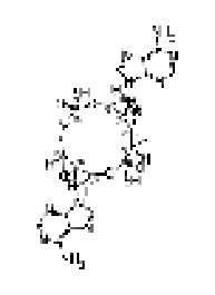 Nc1ncnc2c1ncn2[C@@H]1O[C@@H]2CO[P@@](=O)(S)O[C@H]3[C@H](n4cnc5c(N)ncnc54)O[C@]4(C[C@@H]4[P@@](=O)(S)O[C@@H]1[C@@H]2F)[C@H]3F